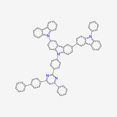 c1ccc(-c2ccc(-c3cc(-c4ccccc4)nc(-c4ccc(-n5c6ccc(-c7ccc8c(c7)c7ccccc7n8-c7ccccc7)cc6c6cc(-n7c8ccccc8c8ccccc87)ccc65)cc4)n3)cc2)cc1